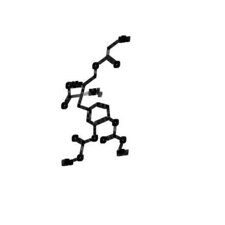 COC(=O)[C@@](N)(CCOC(=O)CC(C)(C)C)Cc1ccc(OC(=O)OC(C)(C)C)c(OC(=O)OC(C)(C)C)c1